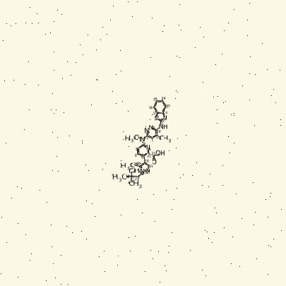 Cc1cc(N(C)c2ccc(-c3cnn(CC(C)(C)C)c3C)c(C(=O)O)n2)nnc1Nc1nc2ccccc2s1